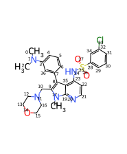 CN(C)c1cccc(-c2c(CN3CCOCC3)n(C)c3nccc(NS(=O)(=O)c4cccc(Cl)c4)c23)c1